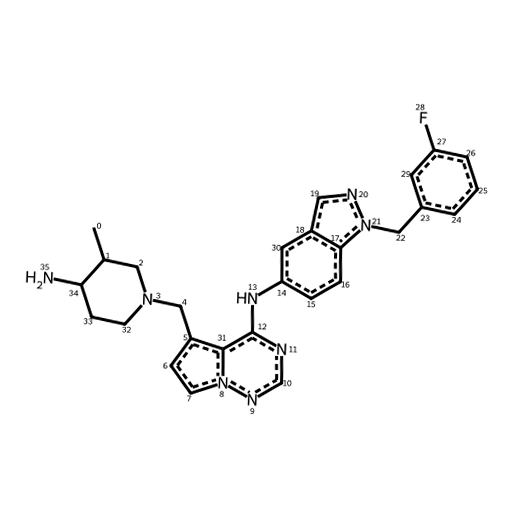 CC1CN(Cc2ccn3ncnc(Nc4ccc5c(cnn5Cc5cccc(F)c5)c4)c23)CCC1N